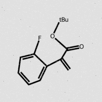 C=C(C(=O)OC(C)(C)C)c1ccccc1F